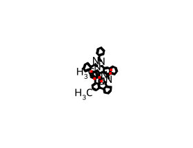 Cc1cc(-c2ccccc2-c2nc(-c3ccccc3)nc(-c3ccccc3)n2)c2oc3c(-c4ccccc4-c4nc(-c5ccccc5)nc(-c5ccccc5)n4)cc(C)cc3c2c1